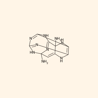 NC12C=C3Nc4nc(nc5c4NC3(N)C(=N1)N5)N2